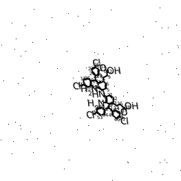 Nc1c(Nc2ccc(CCC(=O)O)c(C(c3ccc(Cl)cc3)c3ccc(Cl)cc3)c2N)ccc(CCC(=O)O)c1C(c1ccc(Cl)cc1)c1ccc(Cl)cc1